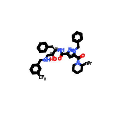 CCCC1CCCCN1C(=O)c1cc(C(=O)N[C@@H](Cc2ccccc2)[C@@H](O)CNCc2cccc(C(F)(F)F)c2)nn1Cc1ccccc1